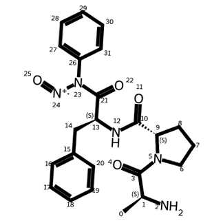 C[C@H](N)C(=O)N1CCC[C@H]1C(=O)N[C@@H](Cc1ccccc1)C(=O)N([N+]=O)c1ccccc1